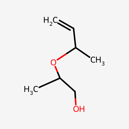 C=CC(C)OC(C)CO